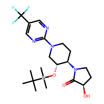 CC(C)(C)[Si](C)(C)O[C@@H]1CN(c2ncc(C(F)(F)F)cn2)CC[C@H]1N1CC[C@@H](O)C1=O